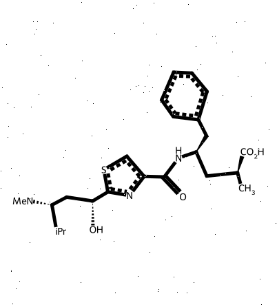 CN[C@H](C[C@@H](O)c1nc(C(=O)N[C@@H](Cc2ccccc2)C[C@H](C)C(=O)O)cs1)C(C)C